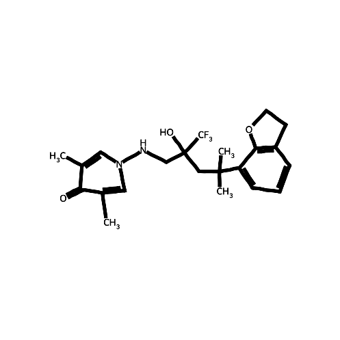 Cc1cn(NCC(O)(CC(C)(C)c2cccc3c2OCC3)C(F)(F)F)cc(C)c1=O